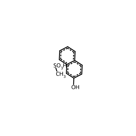 CS(=O)(=O)O.Oc1ccc2ccccc2c1